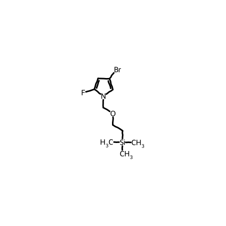 C[Si](C)(C)CCOCn1cc(Br)cc1F